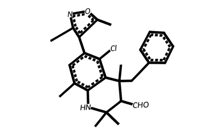 Cc1cc(-c2c(C)noc2C)c(Cl)c2c1NC(C)(C)C(C=O)C2(C)Cc1ccccc1